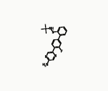 CC(C)(C)NSc1ccccc1-c1ccc(-c2cnc(N)cn2)c(F)c1